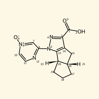 O=C(O)c1nn(-c2c[n+]([O-])ccn2)c2c1C[C@@H]1CCC[C@H]21